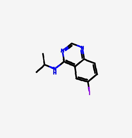 CC(C)Nc1ncnc2ccc(I)cc12